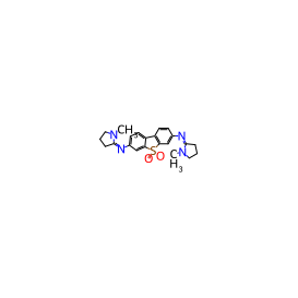 CN1CCCC1=Nc1ccc2c(c1)S(=O)(=O)c1cc(N=C3CCCN3C)ccc1-2